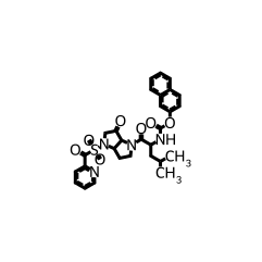 CC(C)CC(NC(=O)Oc1ccc2ccccc2c1)C(=O)N1CCC2C1C(=O)CN2S(=O)(=O)C(=O)c1ccccn1